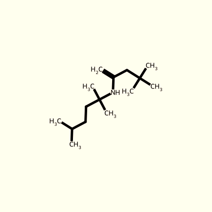 C=C(CC(C)(C)C)NC(C)(C)CCC(C)C